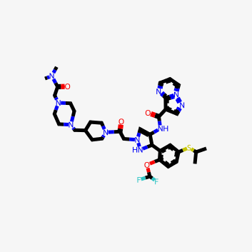 CC(C)Sc1ccc(OC(F)F)c(C2NN(CC(=O)N3CCC(CN4CCN(CC(=O)N(C)C)CC4)CC3)C=C2NC(=O)c2cnn3cccnc23)c1